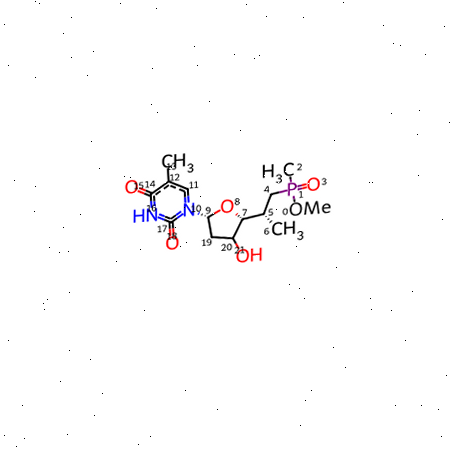 COP(C)(=O)C[C@H](C)[C@H]1O[C@@H](n2cc(C)c(=O)[nH]c2=O)CC1O